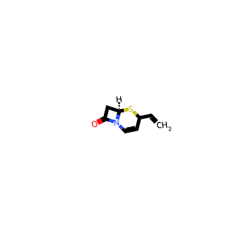 C=CC1C=CN2C(=O)C[C@H]2S1